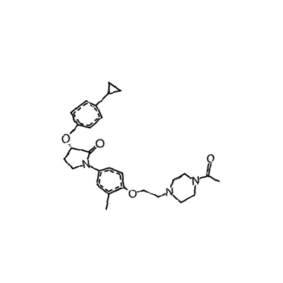 CC(=O)N1CCN(CCOc2ccc(N3CC[C@H](Oc4ccc(C5CC5)cc4)C3=O)cc2C)CC1